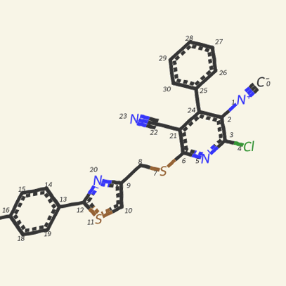 [C-]#[N+]c1c(Cl)nc(SCc2csc(-c3ccc(Cl)cc3)n2)c(C#N)c1-c1ccccc1